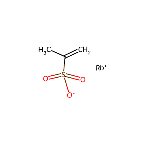 C=C(C)S(=O)(=O)[O-].[Rb+]